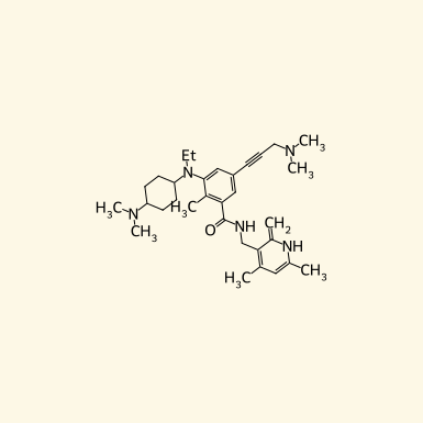 C=C1NC(C)=CC(C)=C1CNC(=O)c1cc(C#CCN(C)C)cc(N(CC)C2CCC(N(C)C)CC2)c1C